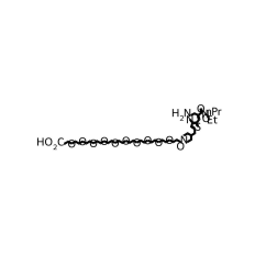 CCCN(OCC)C(=O)C1=Cc2sc(CC3CCN(C(=O)CCOCCOCCOCCOCCOCCOCCOCCOCCOCCOCCC(=O)O)CC3)cc2N=C(N)C1